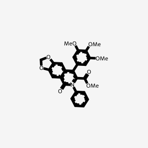 COC(=O)c1c(-c2cc(OC)c(OC)c(OC)c2)c2cc3c(cc2c(=O)n1-c1ccccc1)OCO3